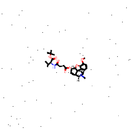 COc1ccc2c3c1O[C@H]1[C@@H](OC(=O)CCC(=O)N[C@H](C(=O)OC(C)(C)C)C(C)C)C=CC4[C@@H](C2)N(C)CC[C@@]341